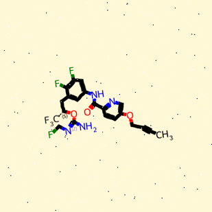 CC#CCOc1ccc(C(=O)Nc2cc(F)c(F)c(C[C@H](O/C(N)=N\CF)C(F)(F)F)c2)nc1